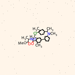 COC(=O)C(C)NC(=O)c1c(C)cc(-c2cccc(N(C)C(C)c3ccc(Cl)c(C)c3)c2)cc1C